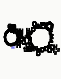 CC1(C)CCCCc2cccc3c2CN(C3)C(=O)O[C@@H]2C[C@@H](C(=O)N[C@]34C[C@H]3/C=C\CCCCCS(=O)(=O)NC4=O)N(C2)C(=O)[C@H](C(C)(C)C)NC(=O)OC1